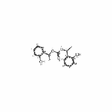 CC(OC(=O)OC(C)c1ccccc1O)c1ccccc1O